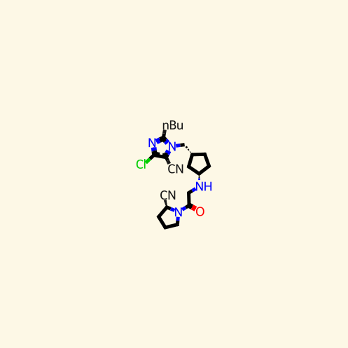 CCCCc1nc(Cl)c(C#N)n1C[C@@H]1CC[C@H](NCC(=O)N2CCC[C@H]2C#N)C1